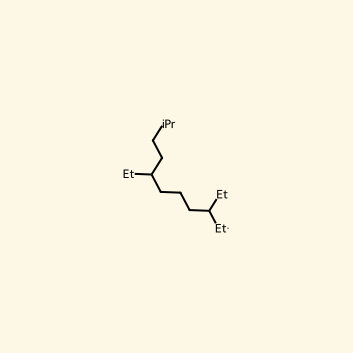 C[CH]C(CC)CCCC(CC)CCC(C)C